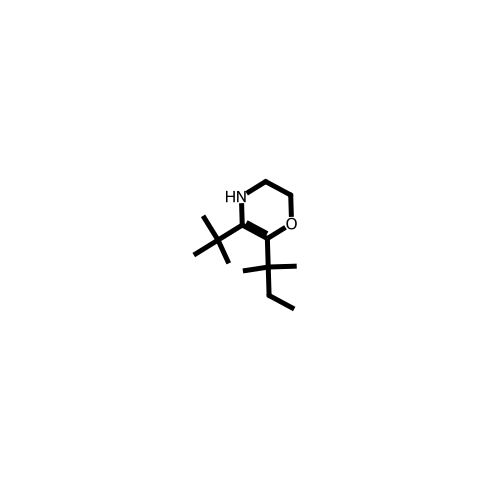 CCC(C)(C)C1=C(C(C)(C)C)NCCO1